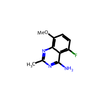 COc1ccc(F)c2c(N)nc(C)nc12